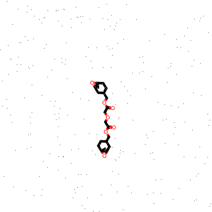 CC12CCC(COC(=O)COCC(=O)OCC3CCC4(C)OC4C3)CC1O2